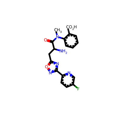 CN(C(=O)C(N)Cc1nc(-c2ccc(F)cn2)no1)c1ccccc1C(=O)O